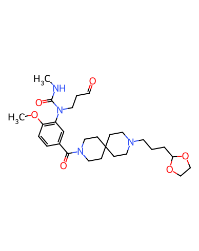 CNC(=O)N(CCC=O)c1cc(C(=O)N2CCC3(CCN(CCCC4OCCO4)CC3)CC2)ccc1OC